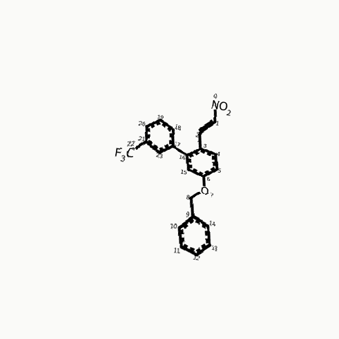 O=[N+]([O-])/C=C/c1ccc(OCc2ccccc2)cc1-c1cccc(C(F)(F)F)c1